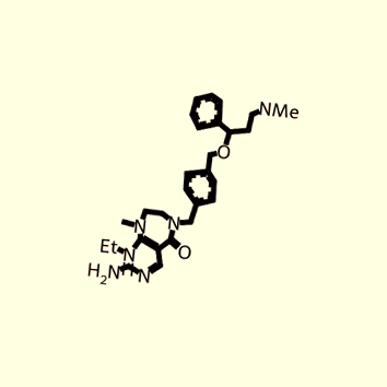 CCNC1=C(/C=N\CN)C(=O)N(Cc2ccc(COC(CCNC)c3ccccc3)cc2)CCN1C